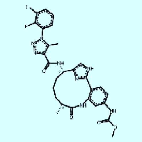 COC(=O)Nc1ccc2c(c1)NC(=O)[C@H](C)CCC[C@H](NC(=O)c1nnn(-c3cccc(Cl)c3F)c1C)c1c[nH]c-2n1